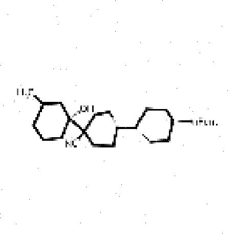 CCCCC[C@H]1CC[C@H]([C@H]2CC[C@@](C#N)([C@@]3(O)CCCC(C)C3)CC2)CC1